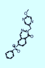 COc1cnc(Cn2ncc3cc(S(=O)(=O)c4ccccc4)ccc3c2=O)cn1